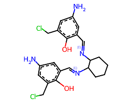 Nc1cc(/C=N/C2CCCCC2/N=C/c2cc(N)cc(CCl)c2O)c(O)c(CCl)c1